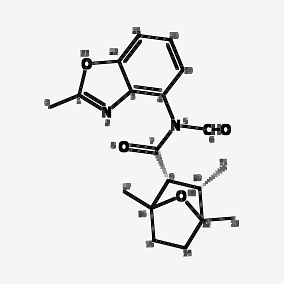 Cc1nc2c(N(C=O)C(=O)[C@@H]3[C@H](C)C4(C)CCC3(C)O4)cccc2o1